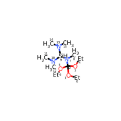 CCOC(OCC)(OCC)N(C)[SiH](N(C)C)N(C)C